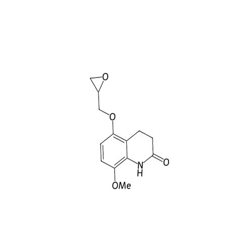 COc1ccc(OCC2CO2)c2c1NC(=O)CC2